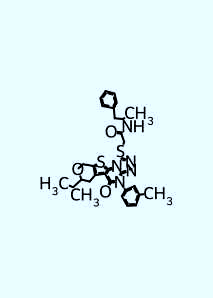 Cc1cccc(-n2c(=O)c3c4c(sc3n3c(SCC(=O)NC(C)Cc5ccccc5)nnc23)COC(C(C)C)C4)c1